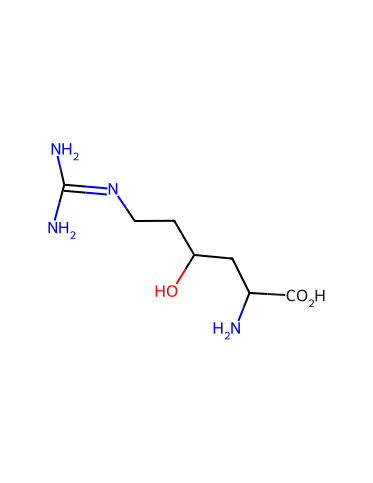 NC(N)=NCCC(O)CC(N)C(=O)O